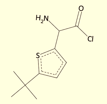 CC(C)(C)c1ccc(C(N)C(=O)Cl)s1